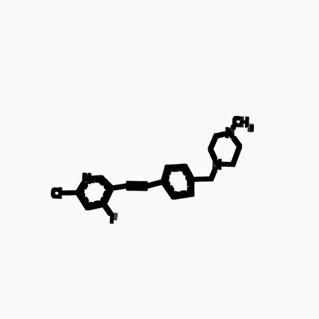 CN1CCN(Cc2ccc(C#Cc3cnc(Cl)cc3F)cc2)CC1